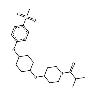 CC(C)C(=O)N1CCC(OC2CCC(Oc3ccc(S(C)(=O)=O)cc3)CC2)CC1